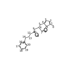 CC1=CC=C(CC(C=O)CC(=O)CCCc2ccccc2)C1